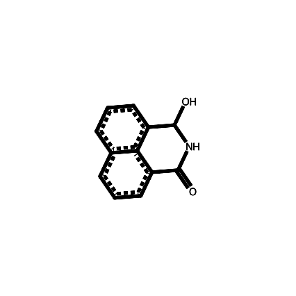 O=C1NC(O)c2cccc3cccc1c23